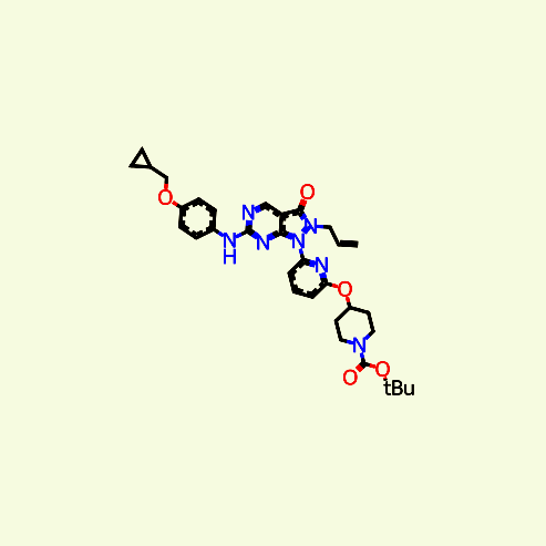 C=CCn1c(=O)c2cnc(Nc3ccc(OCC4CC4)cc3)nc2n1-c1cccc(OC2CCN(C(=O)OC(C)(C)C)CC2)n1